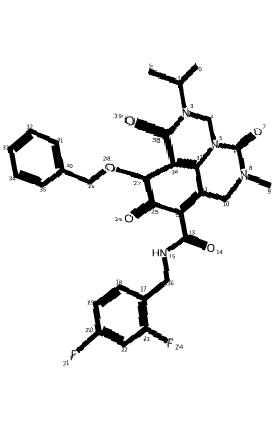 CC(C)N1CN2C(=O)N(C)CC3=C(C(=O)NCc4ccc(F)cc4F)C(=O)C(OCc4ccccc4)C(=C32)C1=O